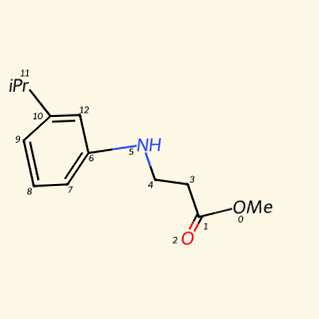 COC(=O)CCNc1cccc(C(C)C)c1